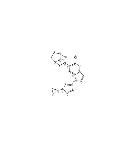 Clc1cc2cnn(-c3cnn(C4CC4)c3)c2cc1N1CC2CCC(C1)N2